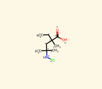 CCC(C)(CC(C)(C)NCl)C(=O)O